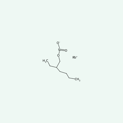 CCCCC(CC)CO[Si](=O)[O-].[Rb+]